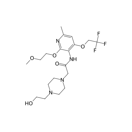 COCCOc1nc(C)cc(OCC(F)(F)F)c1NC(=O)CN1CCN(CCO)CC1